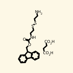 NCCSSCCNC(=O)OCC1c2ccccc2-c2ccccc21.O=C(O)CCC(=O)O